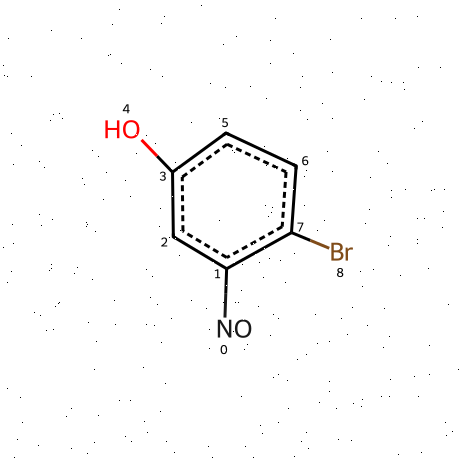 O=Nc1cc(O)ccc1Br